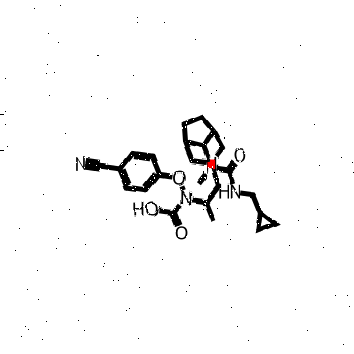 CC(CN1CC2CCC(C1)C2N(C)C(=O)NCC1CC1)N(Oc1ccc(C#N)cc1)C(=O)O